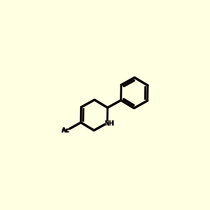 CC(=O)C1=CCC(c2ccccc2)NC1